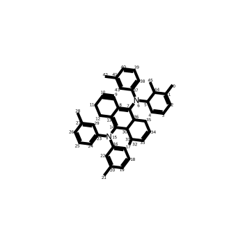 CC1=CC=CC(N(C2=C3C#CCCC3=C(N(c3cccc(C)c3)c3cccc(C)c3)C3C(C)C=CCC23)c2cccc(C)c2)C1C